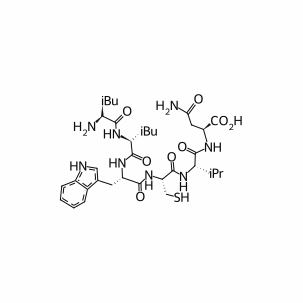 CC[C@H](C)[C@H](N)C(=O)N[C@H](C(=O)N[C@@H](Cc1c[nH]c2ccccc12)C(=O)N[C@@H](CS)C(=O)N[C@H](C(=O)N[C@@H](CC(N)=O)C(=O)O)C(C)C)[C@@H](C)CC